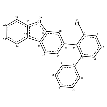 Clc1cccc(-c2ccccc2)c1-c1ccc2c(c1)oc1ccccc12